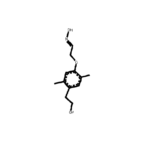 Cc1cc(OCC=NO)c(C)cc1CCO